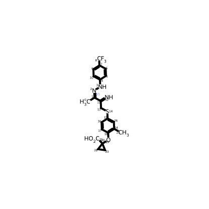 C/C(=N/Nc1ccc(C(F)(F)F)cc1)C(=N)CSc1ccc(OC2(C(=O)O)CC2)c(C)c1